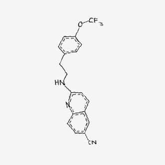 N#Cc1ccc2nc(NCCc3ccc(OC(F)(F)F)cc3)ccc2c1